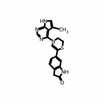 Cc1c[nH]c2ncnc(N3C=C(c4ccc5c(c4)NC(=O)C5)SCC3)c12